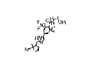 C/C=C\C(=C/c1ncc(-c2cc(OC)c(C(=O)NCC(C)O)c(OC(F)F)c2)[nH]1)C(C)(C)C#N